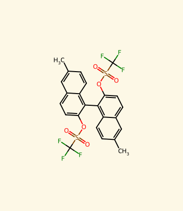 Cc1ccc2c(-c3c(OS(=O)(=O)C(F)(F)F)ccc4cc(C)ccc34)c(OS(=O)(=O)C(F)(F)F)ccc2c1